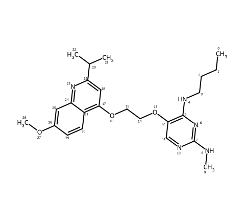 CCCCNc1nc(NC)ncc1OCCOc1cc(C(C)C)nc2cc(OC)ccc12